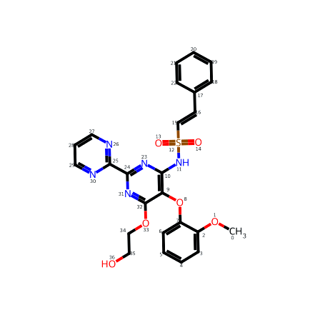 COc1ccccc1Oc1c(NS(=O)(=O)/C=C/c2ccccc2)nc(-c2ncccn2)nc1OCCO